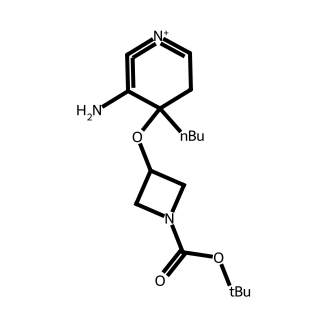 CCCCC1(OC2CN(C(=O)OC(C)(C)C)C2)CC=[N+]=C=C1N